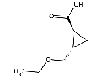 CCOC[C@H]1C[C@@H]1C(=O)O